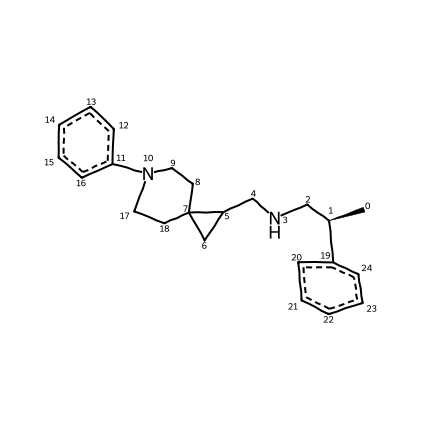 C[C@H](CNCC1CC12CCN(c1ccccc1)CC2)c1ccccc1